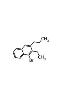 CCCc1cc2ccccc2c(Br)c1CC